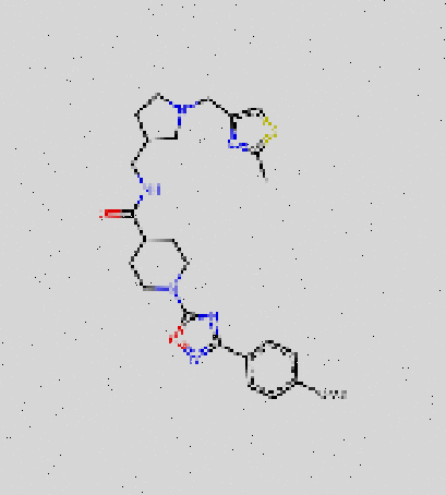 COc1ccc(-c2noc(N3CCC(C(=O)NCC4CCN(Cc5csc(C)n5)C4)CC3)n2)cc1